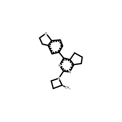 C[C@H]1CCN1c1nc2c(c(-c3ccc4c(c3)CCO4)n1)CCC2